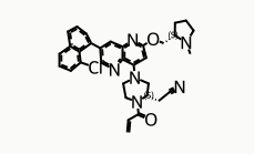 C=CC(=O)N1CCN(c2cc(OC[C@@H]3CCCN3C)nc3cc(-c4cccc5cccc(Cl)c45)cnc23)C[C@@H]1CC#N